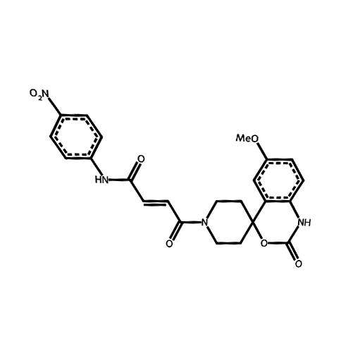 COc1ccc2c(c1)C1(CCN(C(=O)C=CC(=O)Nc3ccc([N+](=O)[O-])cc3)CC1)OC(=O)N2